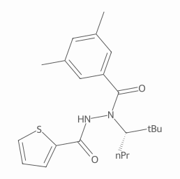 CCC[C@H](N(NC(=O)c1cccs1)C(=O)c1cc(C)cc(C)c1)C(C)(C)C